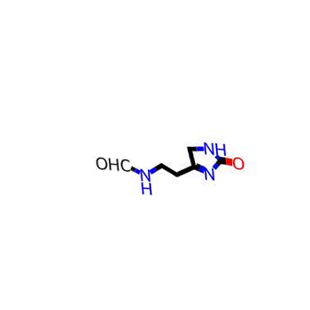 O=CNCCC1=NC(=O)NC1